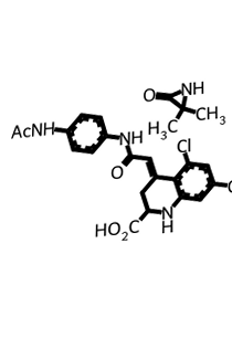 CC(=O)Nc1ccc(NC(=O)C=C2CC(C(=O)O)Nc3cc(Cl)cc(Cl)c32)cc1.CC1(C)NC1=O